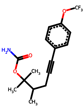 CC(CC#Cc1ccc(OC(F)(F)F)cc1)C(C)(C)OC(N)=O